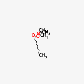 CCCCCCCCC(=O)OOC(C)(C)C